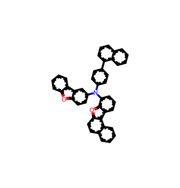 c1ccc2c(-c3ccc(N(c4ccc5oc6ccccc6c5c4)c4cccc5c4oc4ccc6ccccc6c45)cc3)cccc2c1